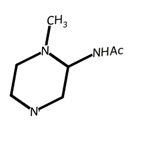 CC(=O)NC1C[N]CCN1C